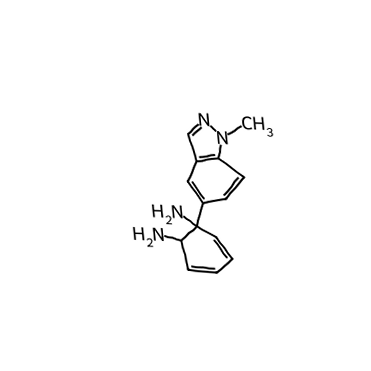 Cn1ncc2cc(C3(N)C=CC=CC3N)ccc21